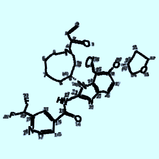 C=CC(=O)N1CCCC[C@@H](n2c(NC(=O)c3ccnc(C(F)F)c3)nc3ccc(O[C@@H]4CCOC4)c(Cl)c32)C1